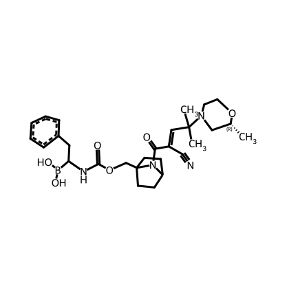 C[C@@H]1CN(C(C)(C)C=C(C#N)C(=O)N2C3CCC2(COC(=O)NC(Cc2ccccc2)B(O)O)CC3)CCO1